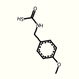 COc1ccc(CNC(=O)S)cc1